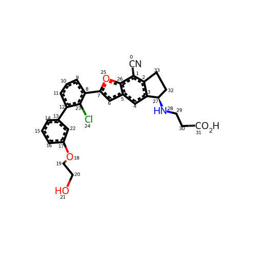 N#Cc1c2c(cc3cc(-c4cccc(-c5cccc(OCCO)c5)c4Cl)oc13)[C@H](NCCC(=O)O)CC2